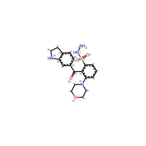 NNS(=O)(=O)c1cccc(N2CCOCC2)c1C(=O)c1ccc2c(c1)NCC2